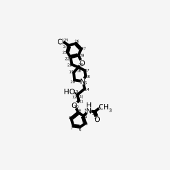 CC(=O)Nc1ccccc1OC[C@@H](O)CN1CCC2(CC1)Cc1cc(Cl)ccc1O2